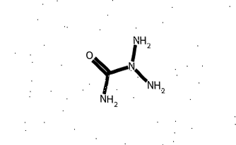 NC(=O)N(N)N